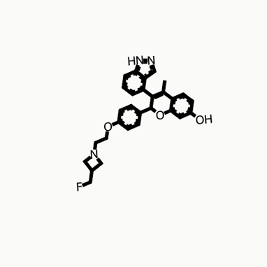 CC1=C(c2cccc3[nH]ncc23)C(c2ccc(OCCN3CC(CF)C3)cc2)Oc2cc(O)ccc21